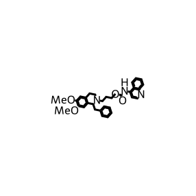 COc1cc2c(cc1OC)C(Cc1ccccc1)N(CCCOC(=O)Nc1ccnc3ccccc13)CC2